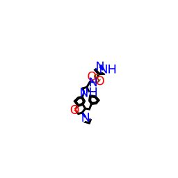 O=S(=O)(NCC1CN(c2ccc3c(c2)C(Cc2ccccc2)C(N2CCC2)CO3)C1)c1cn[nH]c1